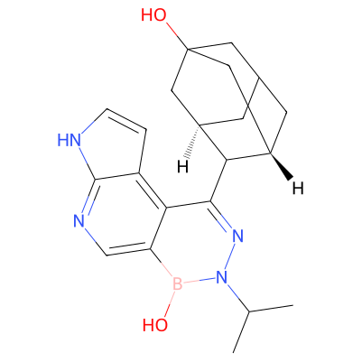 CC(C)N1N=C(C2[C@@H]3CC4C[C@H]2CC(O)(C4)C3)c2c(cnc3[nH]ccc23)B1O